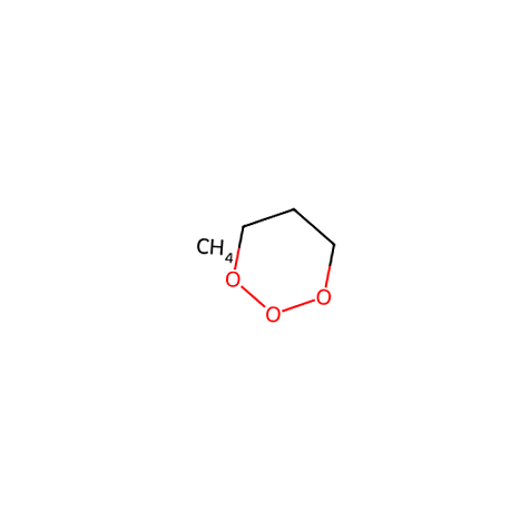 C.C1COOOC1